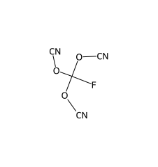 N#COC(F)(OC#N)OC#N